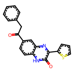 O=C(Cc1ccccc1)c1ccc2[nH]c(=O)c(-c3cccs3)nc2c1